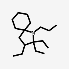 CC[C]N1C2(CCCCC2)CC(CC)C1(CC)CC